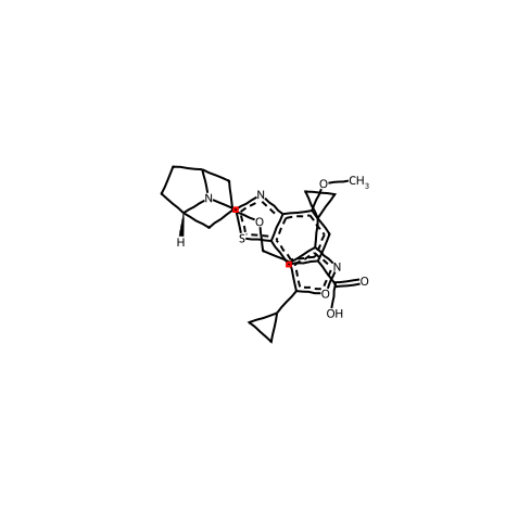 COc1cc(C(=O)O)cc2sc(N3C4CC[C@H]3CC(OCc3c(C5CC5)noc3C3CC3)C4)nc12